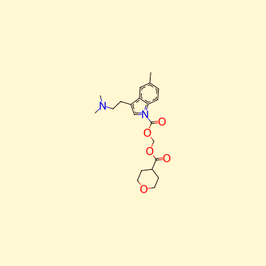 Cc1ccc2c(c1)c(CCN(C)C)cn2C(=O)OCOC(=O)C1CCOCC1